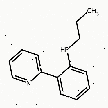 CCCPc1ccccc1-c1ccccn1